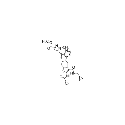 COC(=O)c1cc(Nc2nncn2[C@H]2CCc3sc(NC(=O)C4CC4)c(C(=O)NCC4CC4)c3C2)n(C)n1